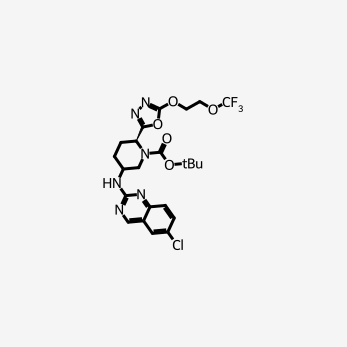 CC(C)(C)OC(=O)N1CC(Nc2ncc3cc(Cl)ccc3n2)CC[C@H]1c1nnc(OCCOC(F)(F)F)o1